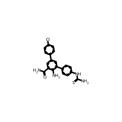 NC(=O)c1cc(-c2ccc(Cl)cc2)cc(-c2ccc(NC(N)=S)cc2)c1N